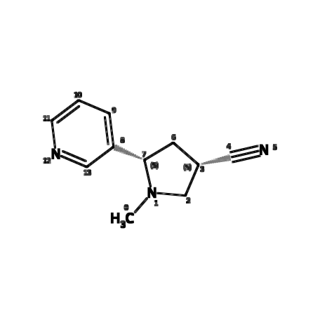 CN1C[C@@H](C#N)C[C@H]1c1cccnc1